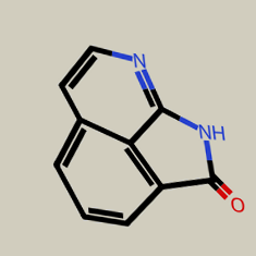 O=C1Nc2nccc3cccc1c23